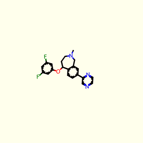 CN1CCC(Oc2cc(F)cc(F)c2)c2ccc(-c3cnccn3)cc2C1